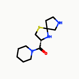 O=C([C@@H]1CSC2(CCNC2)N1)N1CCCCC1